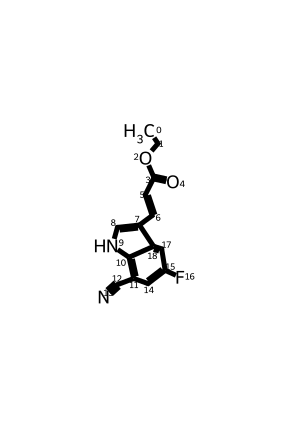 CCOC(=O)C=Cc1c[nH]c2c(C#N)cc(F)cc12